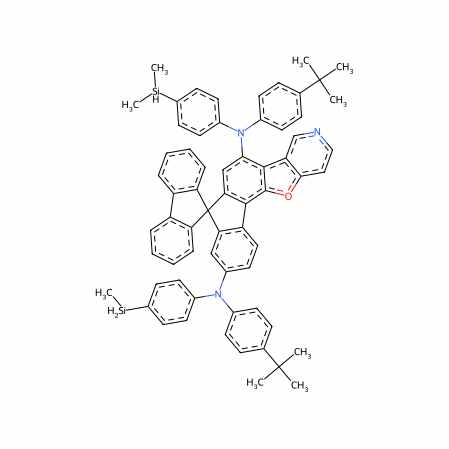 C[SiH2]c1ccc(N(c2ccc(C(C)(C)C)cc2)c2ccc3c(c2)C2(c4ccccc4-c4ccccc42)c2cc(N(c4ccc([SiH](C)C)cc4)c4ccc(C(C)(C)C)cc4)c4c(oc5ccncc54)c2-3)cc1